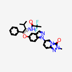 CC(C)[C@H](NC(=O)C(C)(F)F)[C@H](Oc1ccc2c(cnn2-c2ccc3nn(C)c(=O)n3c2)c1)c1ccccc1